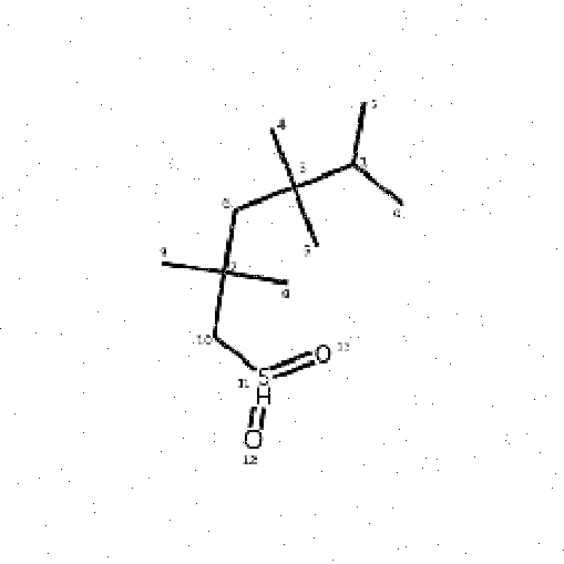 CC(C)C(C)(C)CC(C)(C)C[SH](=O)=O